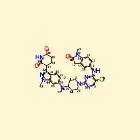 C[C@@H]1CN(c2ncc(Cl)c(Nc3ccc4c(c3)CC(=O)N4C)n2)CC[C@H]1N(C)c1ccc2c(C3CCC(=O)NC3=O)nn(C)c2c1